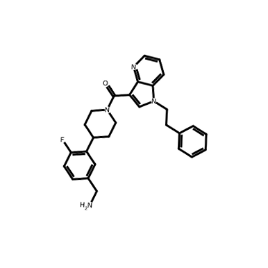 NCc1ccc(F)c(C2CCN(C(=O)c3cn(CCc4ccccc4)c4cccnc34)CC2)c1